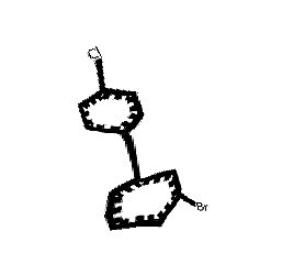 Clc1[c]cc(-c2cccc(Br)c2)cc1